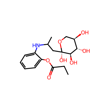 CCC(=O)Oc1ccccc1NC(C)C[C@@]1(O)OC[C@@H](O)[C@H](O)[C@H]1O